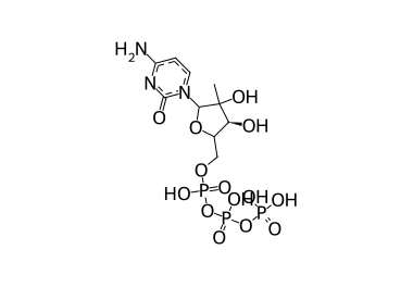 CC1(O)C(n2ccc(N)nc2=O)OC(COP(=O)(O)OP(=O)(O)OP(=O)(O)O)[C@@H]1O